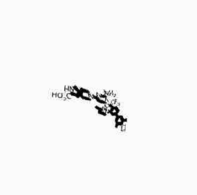 Cc1ccn(-c2cc(-c3cc(C)c(Cl)c(C)c3)ccc2C(Oc2cc(N3CCC4(CC3)CNC(C(=O)O)C4)nc(N)n2)C(F)(F)F)n1